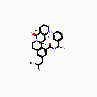 CC(C)Cc1cc2c(c(C(=O)N[C@H](C)c3ccccc3)c1)[C@H]1C[C@@H]3NCCC[C@@H]3C(=O)N1CC2